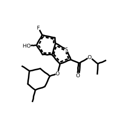 CC1CC(C)CC(Oc2c(C(=O)OC(C)C)sc3cc(F)c(O)cc23)C1